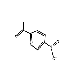 CC(=S)c1ccc([N+](=O)[O-])cn1